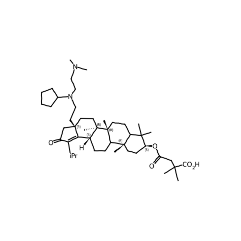 CC(C)C1=C2[C@H]3CCC4[C@@]5(C)CC[C@H](OC(=O)CC(C)(C)C(=O)O)C(C)(C)C5CC[C@@]4(C)[C@]3(C)CC[C@@]2(CCN(CCN(C)C)C2CCCC2)CC1=O